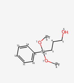 CC(C)O[Si](CCCO)(OC(C)C)c1ccccc1